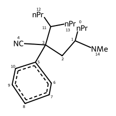 CCCC(CC(C#N)(c1ccccc1)C(CCC)CCC)NC